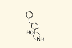 OC1(c2cccc(Cc3ccccc3)c2)CCNCC1